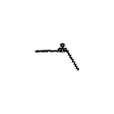 CCCCCCCCCCCCCCCCCCc1ccc(C(c2ccccc2)c2ccc(CCCCCCCCCCCCCCCCCC)cc2O)cc1